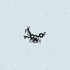 CC(C)=CCc1c(OCC(F)F)cc(/C=C/c2ccc(F)cc2)c(C(=O)O)c1O